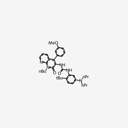 CCCCn1c(=O)c(NC(=O)Nc2cc(N(CCC)CCC)ccc2C(C)(C)C)c(-c2cccc(OC)c2)c2cccnc21